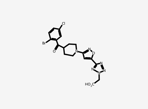 O=C(O)Cn1nnc(-c2cc(N3CCC(C(=O)c4cc(Cl)ccc4Br)CC3)no2)n1